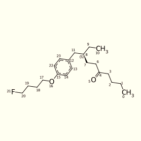 CCCCC(=O)CC[C@H](CC)Cc1ccc(OCCCCF)cc1